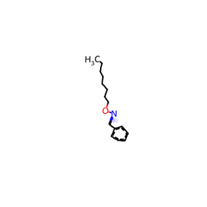 CCCCCCCCO/N=C/c1ccccc1